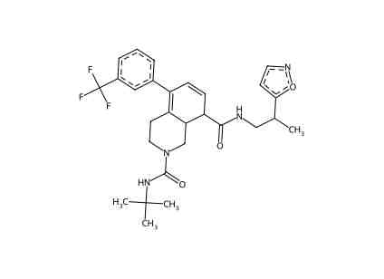 CC(CNC(=O)C1C=CC(c2cccc(C(F)(F)F)c2)=C2CCN(C(=O)NC(C)(C)C)CC21)c1ccno1